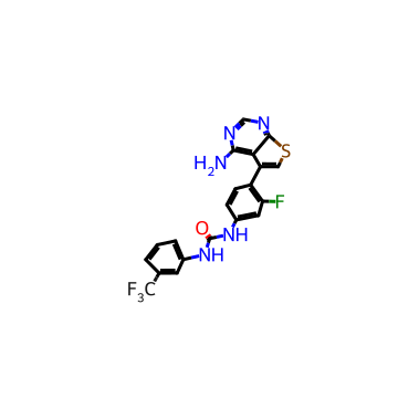 Nc1ncnc2scc(-c3ccc(NC(=O)Nc4cccc(C(F)(F)F)c4)cc3F)c12